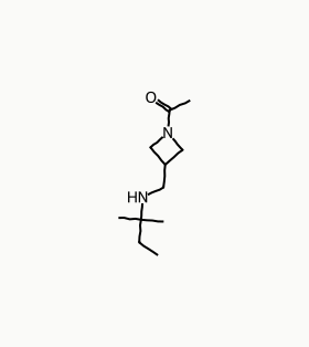 CCC(C)(C)NCC1CN(C(C)=O)C1